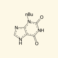 CCCCn1c(=O)[nH]c(=O)c2[nH]cnc21